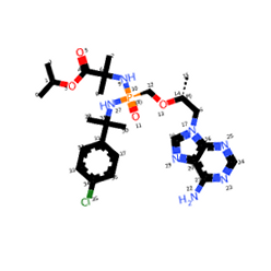 CC(C)OC(=O)C(C)(C)N[P@@](=O)(CO[C@H](C)Cn1cnc2c(N)ncnc21)NC(C)(C)c1ccc(Cl)cc1